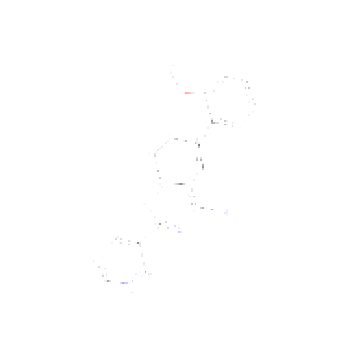 COc1ccccc1-c1ccc2nc(-c3cccnc3)nc(N)c2c1